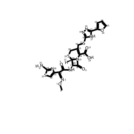 CON=C(C(=O)N[C@@H]1C(=O)N2C(C(=O)O)=C(CSc3nnc(-c4ccco4)[nH]3)CS[C@@H]12)c1csc(N)n1